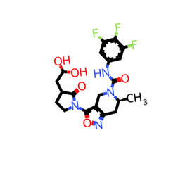 C[C@H]1Cc2noc(N3CCC(CC(O)O)C3=O)c2CN1C(=O)Nc1cc(F)c(F)c(F)c1